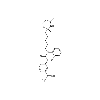 C[C@H]1CCC[C@@](C)(CCCCCN2C(=O)[C@H](c3cccc(C(=N)N)c3)Oc3ccccc32)N1